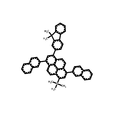 CC1(C)c2ccccc2-c2ccc(-c3cc(-c4ccc5ccccc5c4)c4ccc5c([Si](C)(C)C)cc(-c6ccc7ccccc7c6)c6ccc3c4c65)cc21